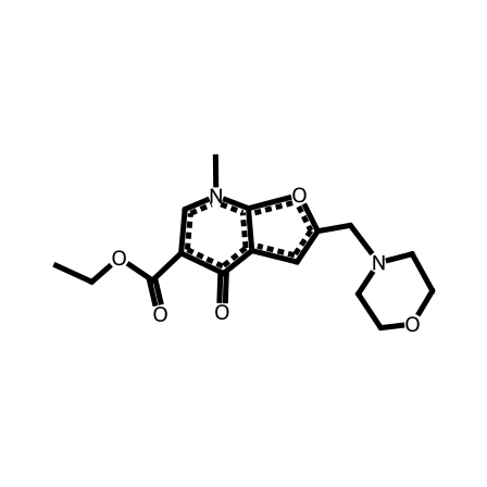 CCOC(=O)c1cn(C)c2oc(CN3CCOCC3)cc2c1=O